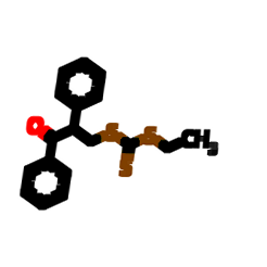 CCSC(=S)SCC(C(=O)c1ccccc1)c1ccccc1